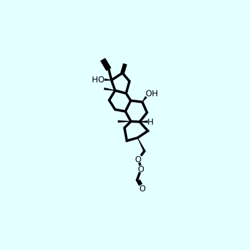 C#C[C@]1(O)C(=C)CC2C3C(CC[C@@]21C)[C@@]1(C)CC[C@H](COOC=O)C[C@H]1C[C@@H]3O